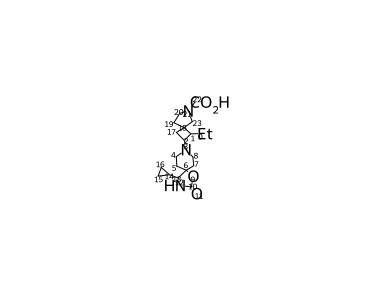 CCC1C(N2CCC3(CC2)OC(=O)NC3C2CC2)CC12CCN(C(=O)O)C2